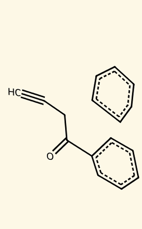 C#CCC(=O)c1ccccc1.c1ccccc1